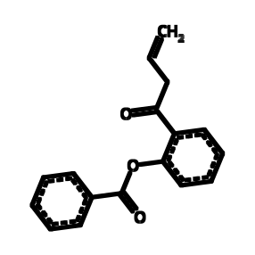 C=CCC(=O)c1ccccc1OC(=O)c1ccccc1